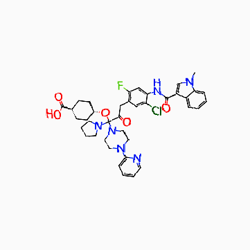 Cn1cc(C(=O)Nc2cc(F)c(CC(=O)C(O[C@H]3CC[C@H](C(=O)O)CC3)(N3CCCC3)N3CCN(c4ccccn4)CC3)cc2Cl)c2ccccc21